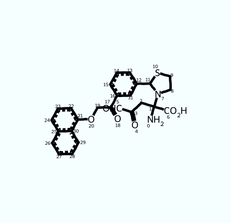 NC(CC(=O)C=O)(C(=O)O)N1CCSC1c1cccc(C(=O)COc2cccc3ccccc23)c1